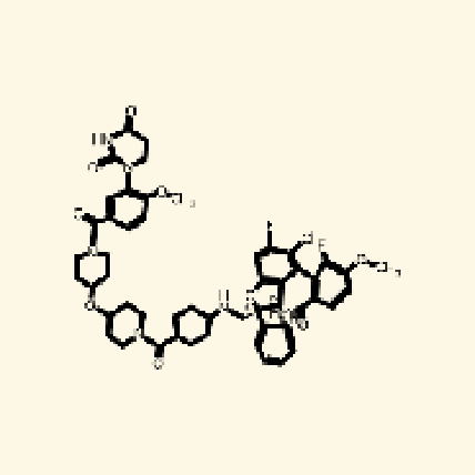 COc1ccc(C(=O)N2CCC(OC3CCN(C(=O)C4CCC(NC[C@]5(c6ccccc6)Oc6cc(F)c(Cl)c(-c7c(C(N)=O)ccc(OC)c7F)c6[C@@H]5C)CC4)CC3)CC2)cc1N1CCC(=O)NC1=O